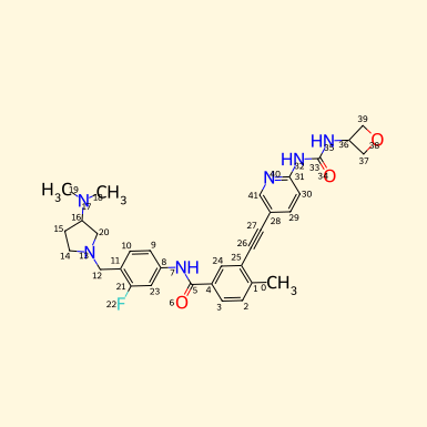 Cc1ccc(C(=O)Nc2ccc(CN3CCC(N(C)C)C3)c(F)c2)cc1C#Cc1ccc(NC(=O)NC2COC2)nc1